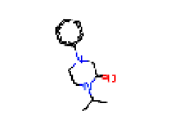 CC(C)N1CCN(c2ccccc2)CC1=O